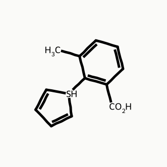 Cc1cccc(C(=O)O)c1[SH]1C=CC=C1